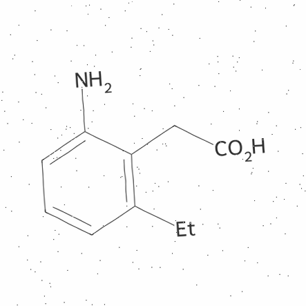 CCc1cccc(N)c1CC(=O)O